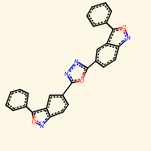 c1ccc(-c2onc3ccc(-c4nnc(-c5ccc6noc(-c7ccccc7)c6c5)o4)cc23)cc1